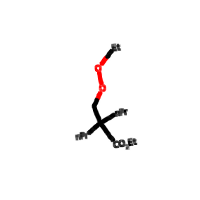 CCCC(CCC)(COOCC)C(=O)OCC